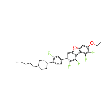 CCCCCC1CCC(c2ccc(-c3cc4oc5cc(OCC)c(F)c(F)c5c4c(F)c3F)cc2F)CC1